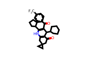 O=C1CC2(CC2)CC2=C1C(C1CCCCC1)C(C(=O)c1ccc(C(F)(F)F)cc1)=C(C1CCCC1)N2